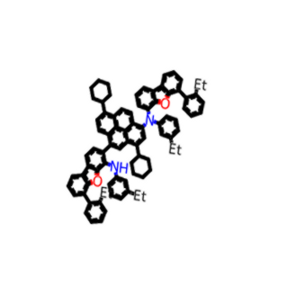 CCc1cccc(Nc2c(-c3cc4c(C5CCCCC5)cc(N(c5cccc(CC)c5)c5cccc6c5oc5c(-c7ccccc7CC)cccc56)c5ccc6c(C7CCCCC7)ccc3c6c45)ccc3c2oc2c(-c4ccccc4CC)cccc23)c1